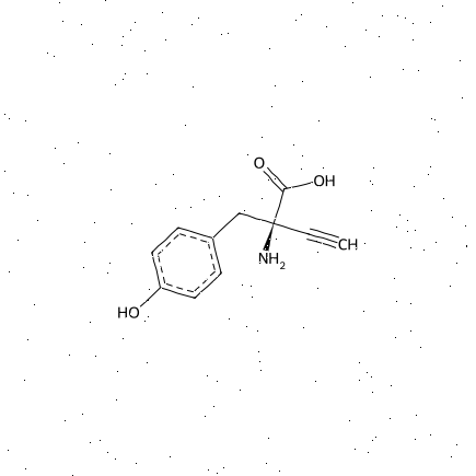 C#C[C@](N)(Cc1ccc(O)cc1)C(=O)O